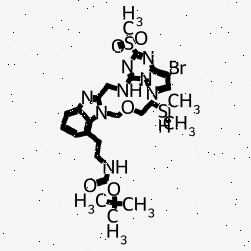 C[SiH](C)CCOCn1c(CNc2nc(S(C)(=O)=O)nc3c(Br)cnn23)nc2cccc(CCNC(=O)OC(C)(C)C)c21